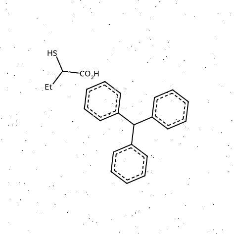 CCC(S)C(=O)O.c1ccc(C(c2ccccc2)c2ccccc2)cc1